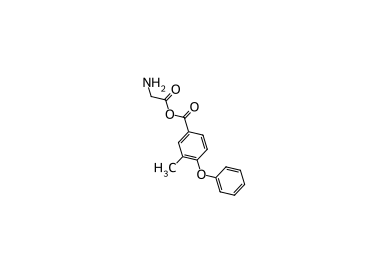 Cc1cc(C(=O)OC(=O)CN)ccc1Oc1ccccc1